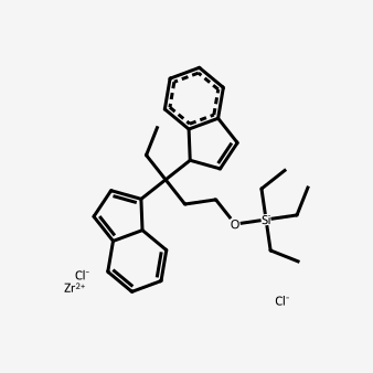 CCC(CCO[Si](CC)(CC)CC)(C1=CC=C2C=CC=CC21)C1C=Cc2ccccc21.[Cl-].[Cl-].[Zr+2]